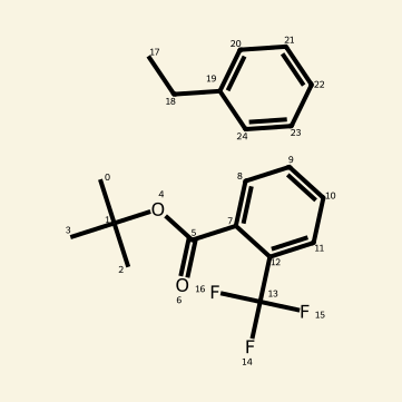 CC(C)(C)OC(=O)c1ccccc1C(F)(F)F.CCc1ccccc1